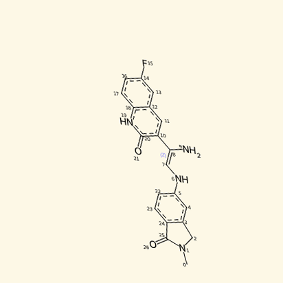 CN1Cc2cc(N/C=C(\N)c3cc4cc(F)ccc4[nH]c3=O)ccc2C1=O